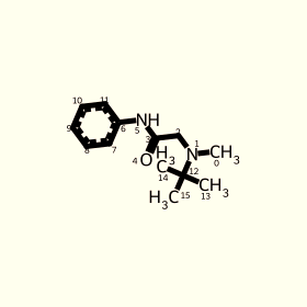 CN(CC(=O)Nc1ccccc1)C(C)(C)C